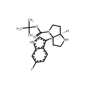 CC(C)(C)OC(=O)N1CC[C@H]2NCC[C@@]21c1c[nH]c2cc(F)ccc12